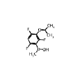 CB(O)c1c(F)cc(F)c(OC(C)C)c1F